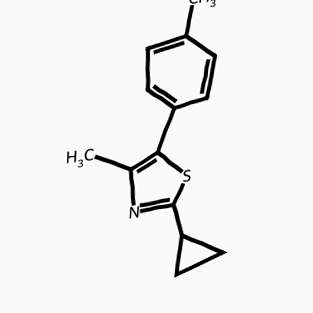 Cc1ccc(-c2sc(C3CC3)nc2C)cc1